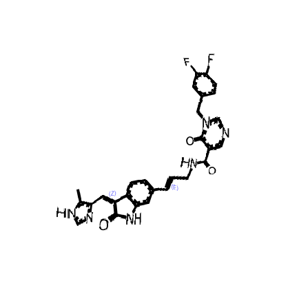 Cc1[nH]cnc1/C=C1\C(=O)Nc2cc(/C=C/CNC(=O)c3cncn(Cc4ccc(F)c(F)c4)c3=O)ccc21